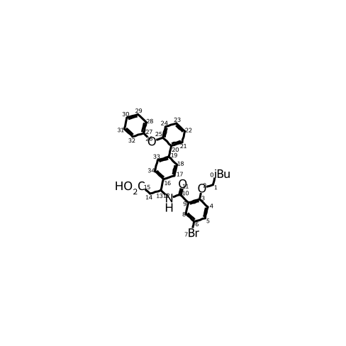 CCC(C)COc1ccc(Br)cc1C(=O)NC(CC(=O)O)c1ccc(-c2ccccc2Oc2ccccc2)cc1